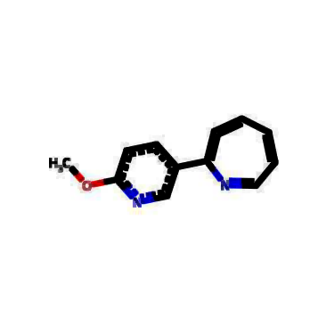 COc1ccc(C2=C=CC=CC=N2)cn1